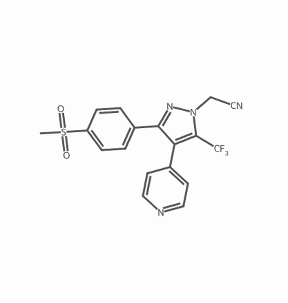 CS(=O)(=O)c1ccc(-c2nn(CC#N)c(C(F)(F)F)c2-c2ccncc2)cc1